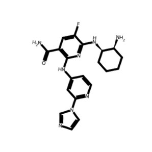 NC(=O)c1cc(F)c(N[C@@H]2CCCC[C@@H]2N)nc1Nc1ccnc(-n2ccnc2)c1